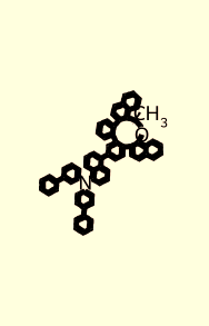 C[C@H]1COc2c(ccc3ccccc23)-c2ccc(-c3cccc4c(N(c5ccc(-c6ccccc6)cc5)c5cccc(-c6ccccc6)c5)cccc34)cc2-c2ccccc2-c2ccc3ccccc3c21